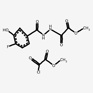 COC(=O)C(=O)Cl.COC(=O)C(=O)NNC(=O)c1ccc(F)c(O)c1